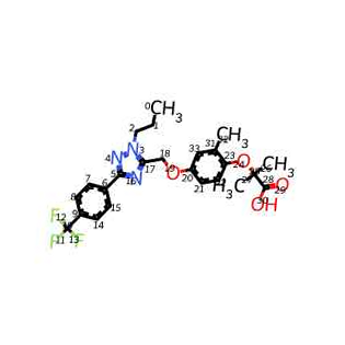 CCCn1nc(-c2ccc(C(F)(F)F)cc2)nc1COc1ccc(OC(C)(C)C(=O)O)c(C)c1